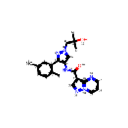 Cc1ccc(C#N)cc1-c1nn(CC(C)(C)O)cc1NC(=O)c1cnn2cccnc12